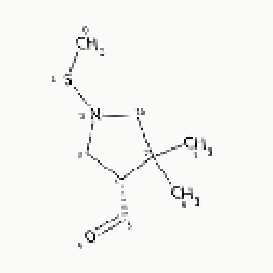 CSN1C[C@@H](C=O)C(C)(C)C1